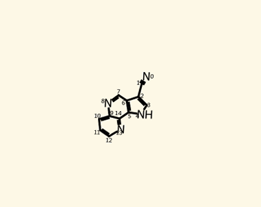 N#Cc1c[nH]c2c1cnc1cccnc12